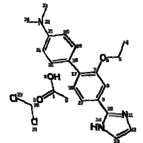 CC(=O)O.CCOc1cc(-c2ncc[nH]2)ccc1-c1ccc(N(C)C)cc1.ClCCl